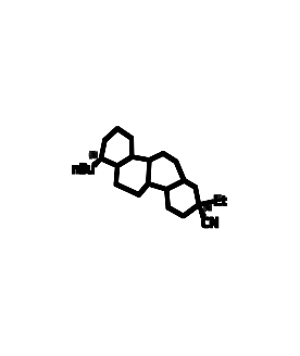 CCCC[C@H]1CCCC2C3CCC4C[C@](C#N)(CC)CCC4C3CCC21